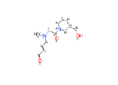 CN(C/C=C/C=O)CC(=O)N1CCCC(CO)C1